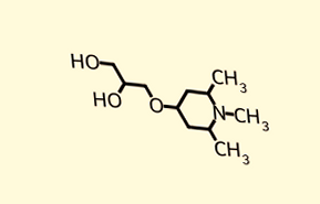 CC1CC(OCC(O)CO)CC(C)N1C